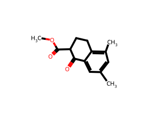 COC(=O)C1CCc2c(C)cc(C)cc2C1=O